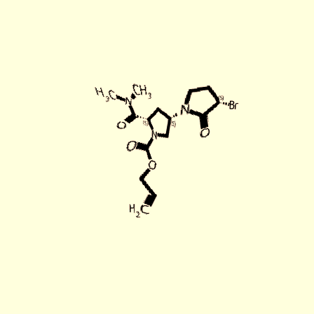 C=CCOC(=O)N1C[C@@H](N2CC[C@H](Br)C2=O)C[C@H]1C(=O)N(C)C